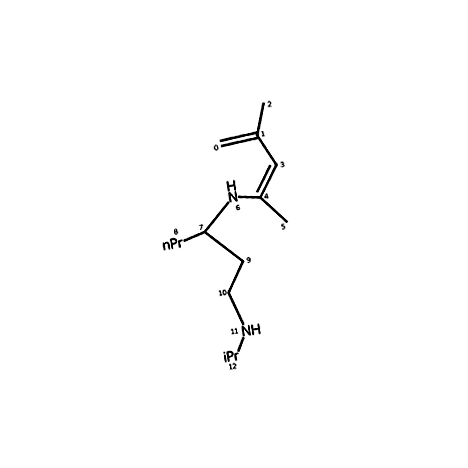 C=C(C)/C=C(/C)NC(CCC)CCNC(C)C